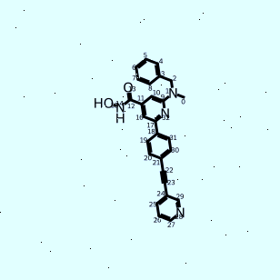 CN(Cc1ccccc1)c1cc(C(=O)NO)cc(-c2ccc(C#Cc3cccnc3)cc2)n1